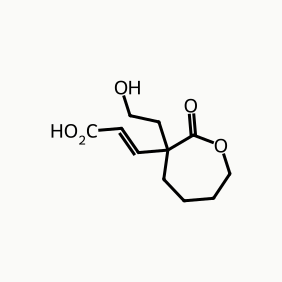 O=C(O)C=CC1(CCO)CCCCOC1=O